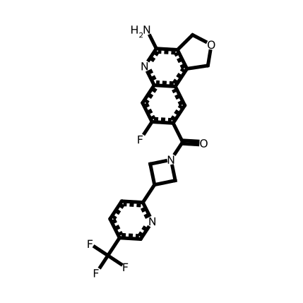 Nc1nc2cc(F)c(C(=O)N3CC(c4ccc(C(F)(F)F)cn4)C3)cc2c2c1COC2